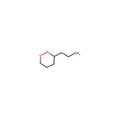 CCCC1CCCOO1